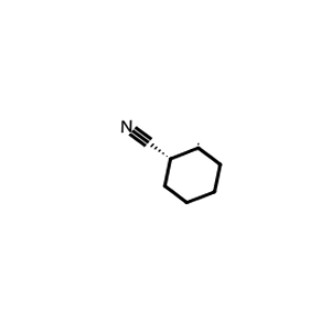 N#C[C@@H]1[CH]CCCC1